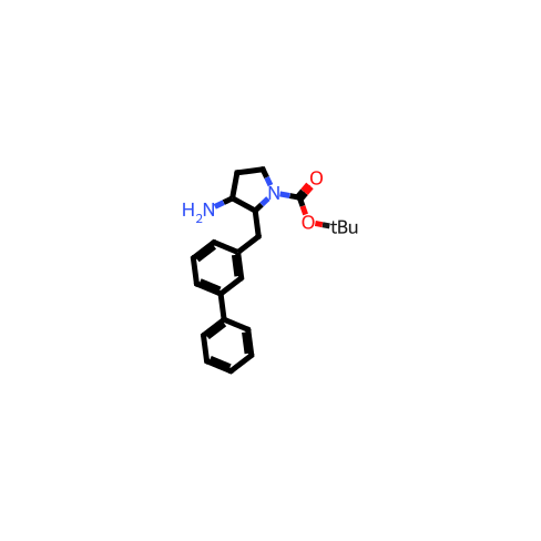 CC(C)(C)OC(=O)N1CCC(N)C1Cc1cccc(-c2ccccc2)c1